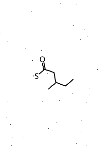 CCC(C)CC(=O)[S]